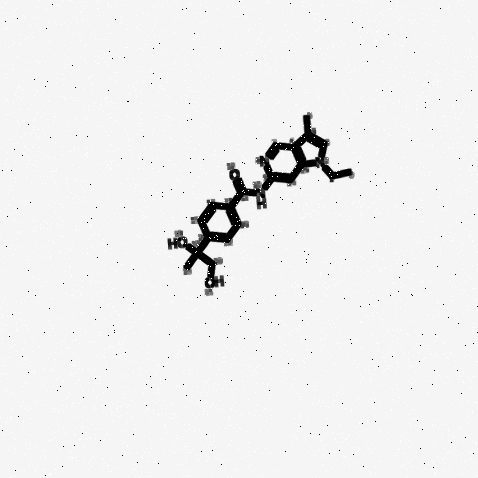 CCn1cc(C)c2cnc(NC(=O)c3ccc(C(C)(O)CO)cc3)cc21